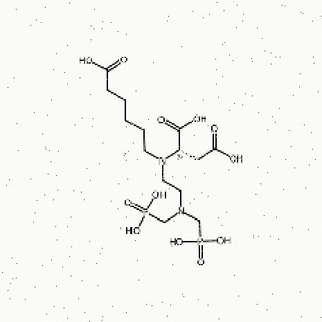 O=C(O)CCCCCN(CCN(CP(=O)(O)O)CP(=O)(O)O)[C@@H](CC(=O)O)C(=O)O